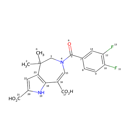 CC1(C)CN(C(=O)c2ccc(F)c(F)c2)C=C(C(=O)O)c2[nH]c(C(=O)O)cc21